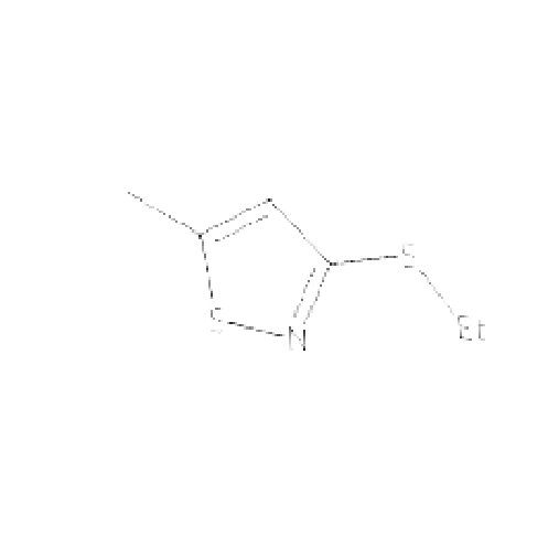 CCSc1cc(C)sn1